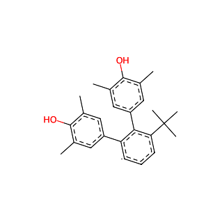 Cc1cc(-c2[c]ccc(C(C)(C)C)c2-c2cc(C)c(O)c(C)c2)cc(C)c1O